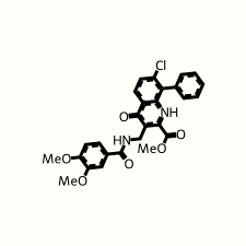 COC(=O)c1[nH]c2c(-c3ccccc3)c(Cl)ccc2c(=O)c1CNC(=O)c1ccc(OC)c(OC)c1